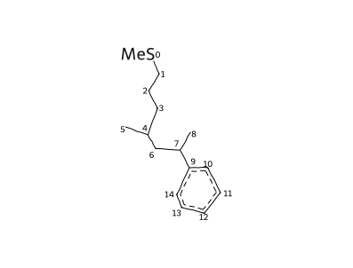 CSCCCC(C)CC(C)c1ccccc1